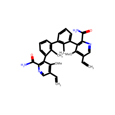 C=Cc1cnc(C(N)=O)c(-c2cccc(-c3cccc(-c4c(C(N)=O)ncc(C=C)c4OC)c3C)c2C)c1OC